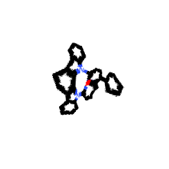 c1ccc(-c2ccc(-n3c4ccccc4c4ccc5c6ccccc6n(-c6ccccn6)c5c43)cc2)cc1